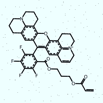 C=CC(=O)OCCCOC(=O)c1c(F)c(F)c(F)c(F)c1C1=c2cc3c4c(c2Oc2c1cc1c5c2CCCN5CCC1)CCC[N+]=4CC=C3